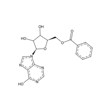 O=C(OC[C@H]1O[C@@H](n2cnc3c(O)ncnc32)C(O)C1O)c1ccccc1